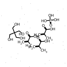 C=C(C)C(=O)O.C=C(C)C(=O)O.C=C(C)C(=O)O.O=P(O)(O)O.OCC(CO)(CO)CO